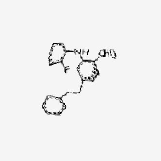 O=Cc1ccc(CCc2ccccc2)cc1Nc1ccccc1F